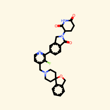 O=C1CCC(N2Cc3cc(-c4nccc(CN5CCC6(CC5)OCc5ccccc56)c4F)ccc3C2=O)C(=O)N1